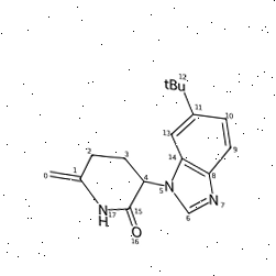 C=C1CCC(n2cnc3ccc(C(C)(C)C)cc32)C(=O)N1